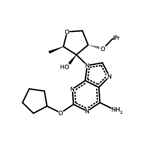 CC(C)O[C@H]1CO[C@H](C)[C@@]1(O)n1cnc2c(N)nc(OC3CCCC3)nc21